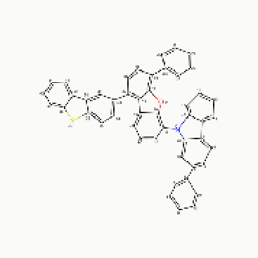 c1ccc(-c2ccc3c4ccccc4n(-c4cccc5c4oc4c(-c6ccccc6)ccc(-c6ccc7sc8ccccc8c7c6)c45)c3c2)cc1